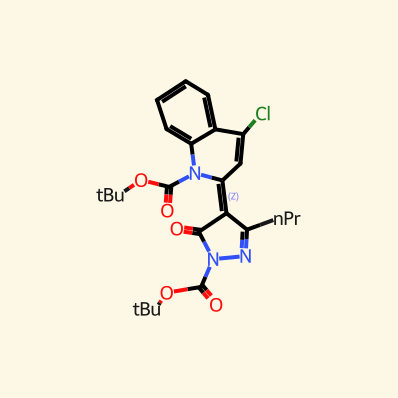 CCCC1=NN(C(=O)OC(C)(C)C)C(=O)/C1=C1/C=C(Cl)c2ccccc2N1C(=O)OC(C)(C)C